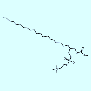 CCCCCCCCCCCCCCCCCCCCC(COC(=O)OC)COP(=O)([O-])OCC[N+](C)(C)C